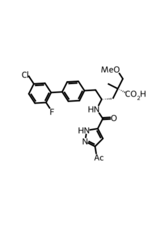 COC[C@](C)(C[C@@H](Cc1ccc(-c2cc(Cl)ccc2F)cc1)NC(=O)c1cc(C(C)=O)n[nH]1)C(=O)O